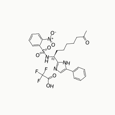 CC(=O)CCCCC[C@H](NS(=O)(=O)c1ccccc1[N+](=O)[O-])c1ncc(-c2ccccc2)[nH]1.O=C(O)C(F)(F)F